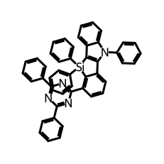 c1ccc(-c2nc(-c3ccccc3)nc(-c3cccc4c3[Si](c3ccccc3)(c3ccccc3)c3c-4n(-c4ccccc4)c4ccccc34)n2)cc1